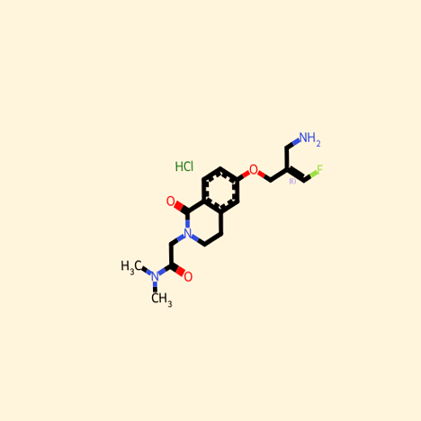 CN(C)C(=O)CN1CCc2cc(OC/C(=C/F)CN)ccc2C1=O.Cl